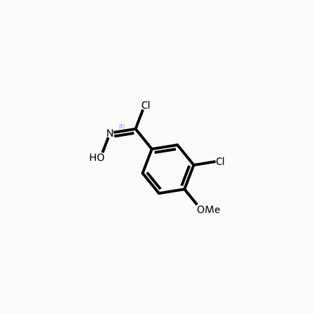 COc1ccc(/C(Cl)=N\O)cc1Cl